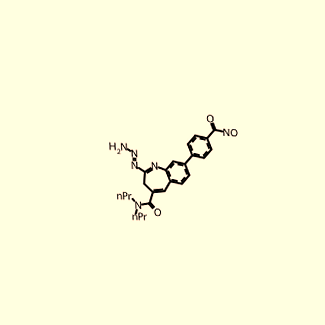 CCCN(CCC)C(=O)C1=Cc2ccc(-c3ccc(C(=O)N=O)cc3)cc2N=C(N=NN)C1